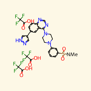 CNS(=O)(=O)c1cccc(N2CCN(c3ncnc4ccc(-c5cn[nH]c5)cc34)CC2)c1.O=C(O)C(F)(F)F.O=C(O)C(F)(F)F.O=C(O)C(F)(F)F